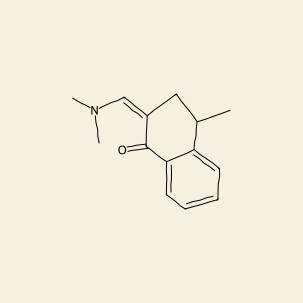 CC1C/C(=C/N(C)C)C(=O)c2ccccc21